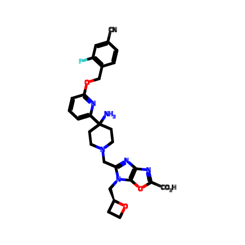 N#Cc1ccc(COc2cccc(C3(N)CCN(Cc4nc5nc(C(=O)O)oc5n4C[C@@H]4CCO4)CC3)n2)c(F)c1